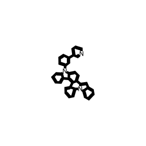 c1cncc(-c2cccc(-n3c4ccccc4c4c5c6ccccc6n6c7ccccc7cc6c5ccc43)c2)c1